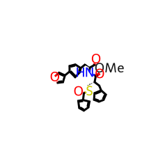 COC(=O)[C@H](Cc1ccc(-c2ccoc2)cc1)NC(=O)[C@@H](CSC(=O)c1ccccc1)Cc1ccccc1